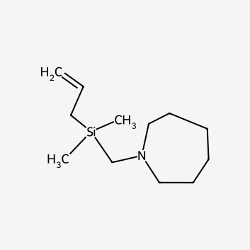 C=CC[Si](C)(C)CN1CCCCCC1